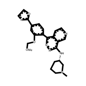 COCOc1cc(-c2ncco2)ccc1-c1nnc(N[C@H]2CCCN(C)C2)c2cnccc12